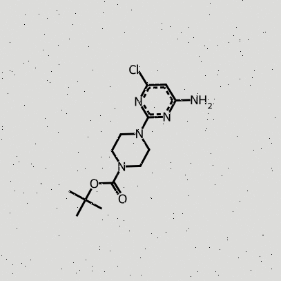 CC(C)(C)OC(=O)N1CCN(c2nc(N)cc(Cl)n2)CC1